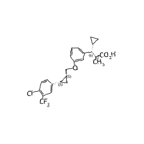 C[C@H](C(=O)O)[C@H](c1cccc(OC[C@H]2C[C@@H]2c2ccc(Cl)c(C(F)(F)F)c2)c1)C1CC1